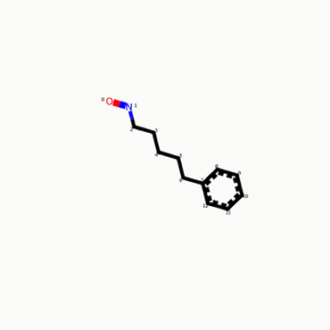 O=NCCCCCc1ccccc1